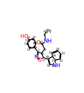 CC(C)CNC(=O)CC1C(c2ccc(O)cc2)=NOC1C1=CNC2C=CC=CC12